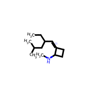 CCC(/C=C1/CCC1NC)CC(C)C